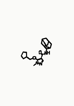 Cn1ncc(C(=O)NC2C3CC4CC(C3)CC2C4)c1OCC1CCCC1